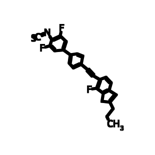 CCCC1=Cc2ccc(C#Cc3ccc(-c4cc(F)c(N=C=S)c(F)c4)cc3)c(F)c2C1